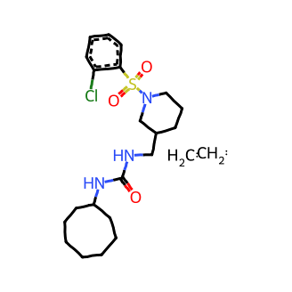 O=C(NCC1CCCN(S(=O)(=O)c2ccccc2Cl)C1)N[C]1CCCCCCC1.[CH2].[CH2]